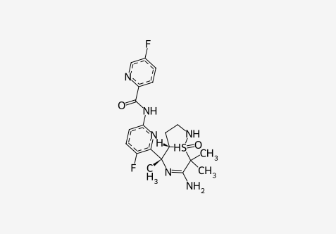 CC1(C)C(N)=N[C@](C)(c2nc(NC(=O)c3ccc(F)cn3)ccc2F)[C@@H]2CCN[SH]21=O